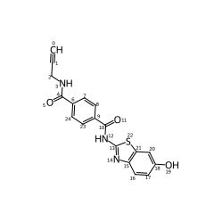 C#CCNC(=O)c1ccc(C(=O)Nc2nc3ccc(O)cc3s2)cc1